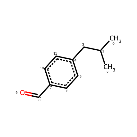 CC(C)Cc1ccc([C]=O)cc1